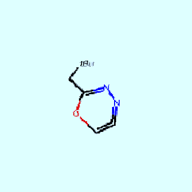 CC(C)(C)CC1=NN=C=CO1